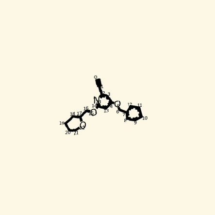 C#Cc1cc(OCc2ccccc2)cc(OCC2CCCCO2)n1